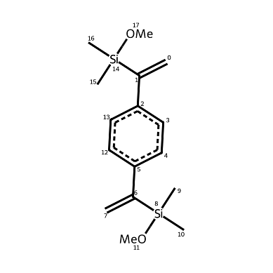 C=C(c1ccc(C(=C)[Si](C)(C)OC)cc1)[Si](C)(C)OC